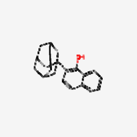 Oc1c(C23CC4CC(CC(C4)C2)C3)ccc2ccccc12